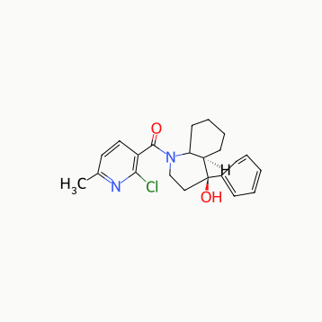 Cc1ccc(C(=O)N2CC[C@@](O)(c3ccccc3)[C@@H]3CCCCC32)c(Cl)n1